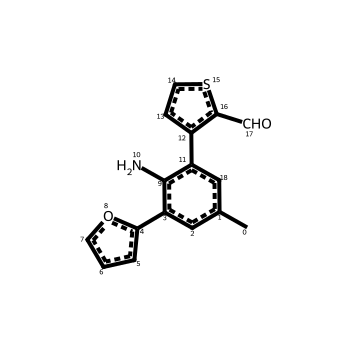 Cc1cc(-c2ccco2)c(N)c(-c2ccsc2C=O)c1